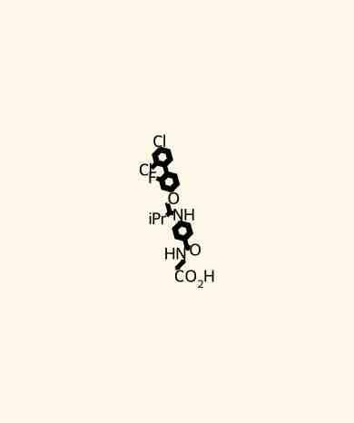 CC(C)C(COc1ccc(-c2ccc(Cl)cc2Cl)c(F)c1)Nc1ccc(C(=O)NCCC(=O)O)cc1